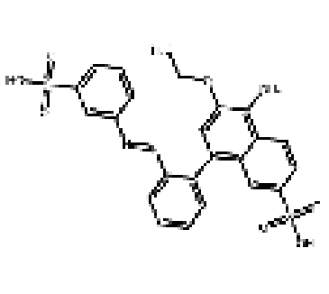 CCOc1cc(-c2ccccc2N=Nc2cccc(S(=O)(=O)O)c2)c2cc(S(=O)(=O)O)ccc2c1N